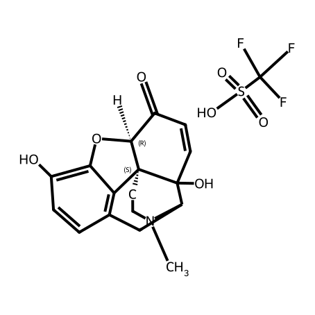 CN1CC[C@]23c4c5ccc(O)c4O[C@H]2C(=O)C=CC3(O)C1C5.O=S(=O)(O)C(F)(F)F